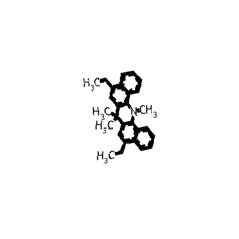 CCc1cc2c(c3ccccc13)N(C)c1c(cc(CC)c3ccccc13)C2(C)C